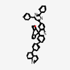 c1ccc(-c2cc(-c3ccc4c(c3)C3(c5cc(-c6ccc(-c7cccc8ncccc78)cc6)ccc5S4)c4ccccc4-c4ccccc43)nc(-c3ccccc3)n2)cc1